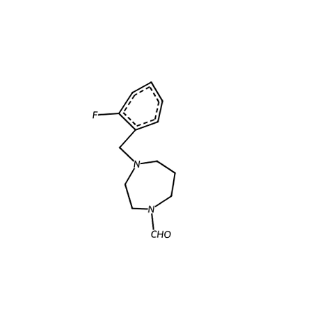 O=CN1CCCN(Cc2ccccc2F)CC1